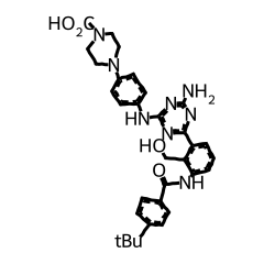 CC(C)(C)c1ccc(C(=O)Nc2cccc(-c3nc(N)nc(Nc4ccc(N5CCN(C(=O)O)CC5)cc4)n3)c2CO)cc1